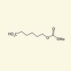 COC(=O)OCCCCCC(=O)O